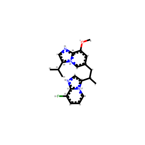 COc1cc(CC(C)c2cnc3c(F)cccn23)cn2c(C(C)C)cnc12